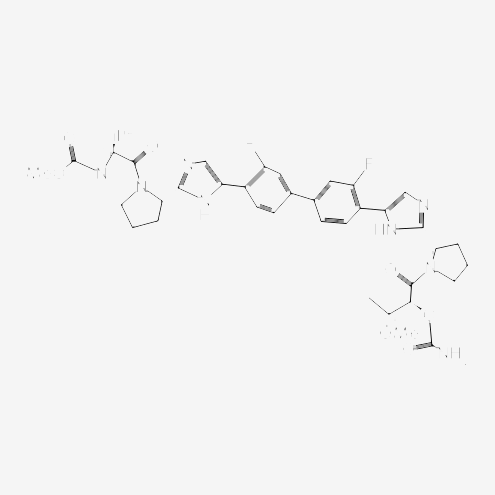 COC(=O)N[C@H](C(=O)N1CCC[C@H]1c1ncc(-c2ccc(-c3ccc(-c4cnc([C@@H]5CCCN5C(=O)[C@@H](OC(N)=O)[C@@H](C)OC)[nH]4)c(F)c3)cc2F)[nH]1)C(C)C